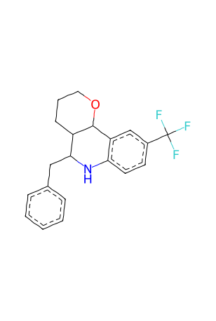 FC(F)(F)c1ccc2c(c1)C1OCCCC1C(Cc1ccccc1)N2